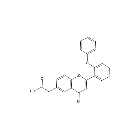 O=C(O)Cc1ccc2oc(-c3ccccc3Oc3ccccc3)cc(=O)c2c1